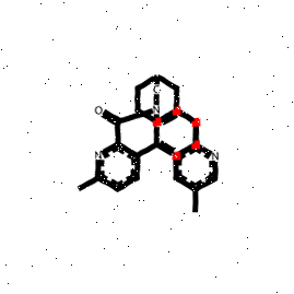 Cc1ccc(OC2CC3CCC2N(C(=O)c2nc(C)ccc2C2=NCCC=N2)C3)nc1